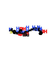 Cc1ncsc1-c1ccc([C@H](C)NC(=O)[C@@H]2C[C@@H](O)CN2C(=O)C(NC(=O)CC(=O)NCCCCCCN2CCN(c3cc(-c4ccccc4O)nnc3N)CC2)C(C)(C)C)cc1